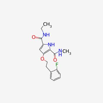 CCNC(=O)c1cc(OCCc2ccccc2F)c(C(=O)NC)[nH]1